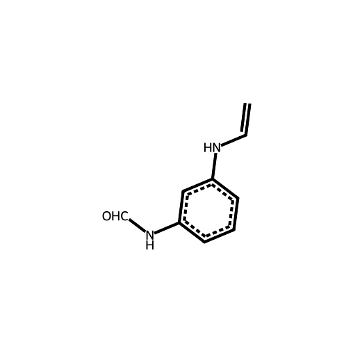 C=CNc1cccc(NC=O)c1